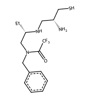 CC[C@@H](CN(Cc1ccccc1)C(=O)C(F)(F)F)NC[C@@H](N)CS